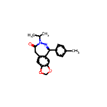 Cc1ccc(C2=NN(C(C)C)C(=O)Cc3cc4c(cc32)OCO4)cc1